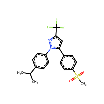 CC(C)c1ccc(-n2nc(C(F)(F)F)cc2-c2ccc(S(C)(=O)=O)cc2)cc1